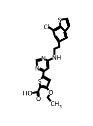 CCOc1cc(-c2cc(NCCc3cc(Cl)c4sccc4c3)ncn2)sc1C(=O)O